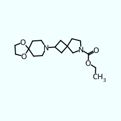 CCOC(=O)N1CCC2(CC(N3CCC4(CC3)OCCO4)C2)C1